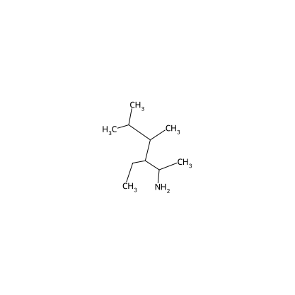 CCC(C(C)N)C(C)C(C)C